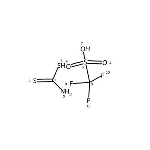 NC(=S)S.O=S(=O)(O)C(F)(F)F